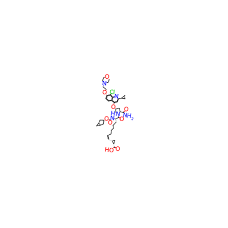 NC(=O)[C@@H]1C[C@@H](Oc2cc(C3CC3)nc3c(Cl)c(OCCN4CCOCC4)ccc23)CN1C(=O)[C@H](CCCCC/C=C\[C@@H]1C[C@@H]1C(=O)O)NC(=O)OC1CC2CC2C1